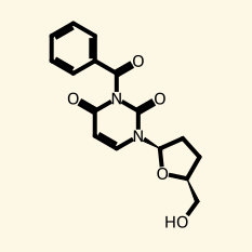 O=C(c1ccccc1)n1c(=O)ccn([C@H]2CC[C@@H](CO)O2)c1=O